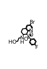 O=S(=O)(c1ccc(F)cc1)C1c2ncc(Br)cc2CCC1NCCO